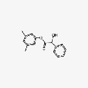 Cc1cc(C)cc(OC(=O)C(O)c2ccccc2)c1